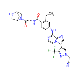 CCc1cc(Nc2nccn3c(-c4cn(CC#N)nc4C(F)(F)F)cnc23)ccc1C(=O)NCC(=O)N1CC2CC1CN2